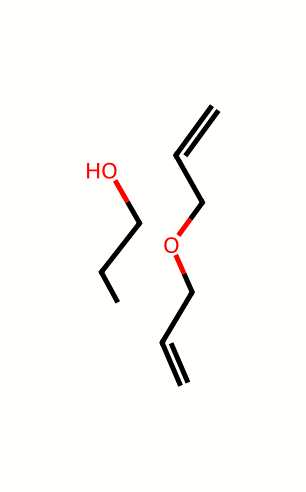 C=CCOCC=C.CCCO